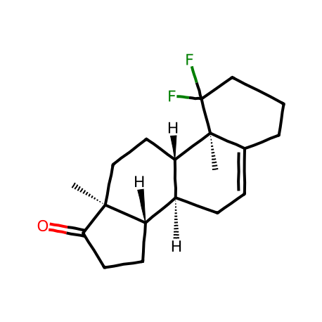 C[C@]12C(=CC[C@@H]3[C@@H]1CC[C@]1(C)C(=O)CC[C@@H]31)CCCC2(F)F